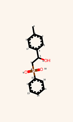 Cc1ccc(C(O)CS(=O)(=O)c2ccccc2)cc1